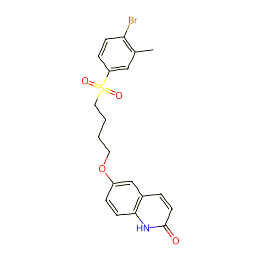 Cc1cc(S(=O)(=O)CCCCOc2ccc3[nH]c(=O)ccc3c2)ccc1Br